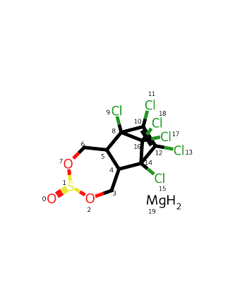 O=S1OCC2C(CO1)C1(Cl)C(Cl)=C(Cl)C2(Cl)C1(Cl)Cl.[MgH2]